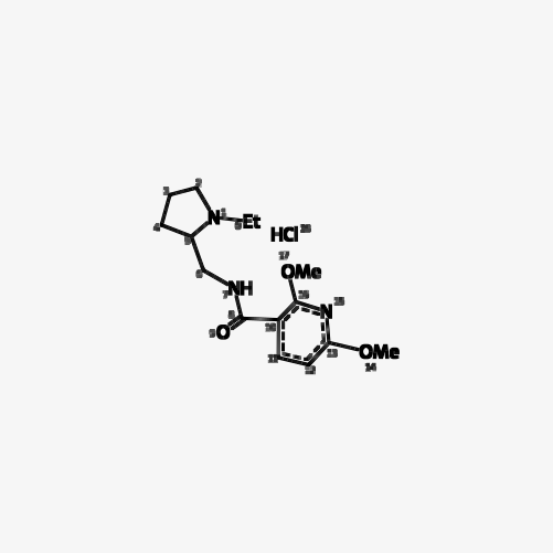 CCN1CCCC1CNC(=O)c1ccc(OC)nc1OC.Cl